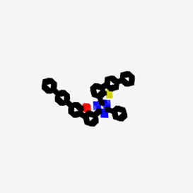 c1ccc(-c2ccc(-c3ccc4c(c3)oc3c(-c5nc(-c6ccccc6)nc(-c6cccc7c6sc6cc(-c8ccccc8)ccc67)n5)cccc34)cc2)cc1